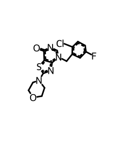 O=c1ncn(Cc2cc(F)ccc2Cl)c2nc(N3CCOCC3)sc12